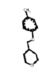 Cc1ccc(OCC2CCOCC2)cc1